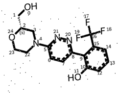 OC[C@@H]1CN(c2ccc(-c3c(O)cccc3C(F)(F)F)nn2)CCO1